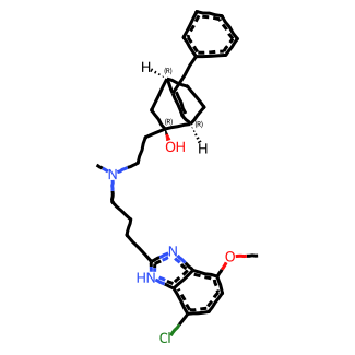 COc1ccc(Cl)c2[nH]c(CCCN(C)CC[C@]3(O)C[C@H]4CC[C@@H]3C=C4c3ccccc3)nc12